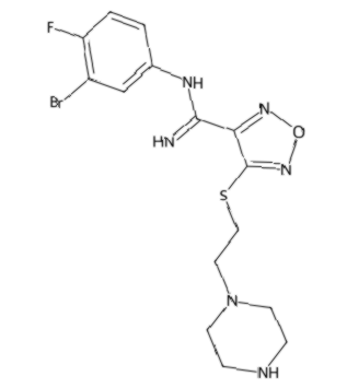 N=C(Nc1ccc(F)c(Br)c1)c1nonc1SCCN1CCNCC1